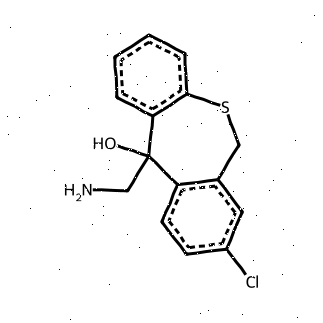 NCC1(O)c2ccc(Cl)cc2CSc2ccccc21